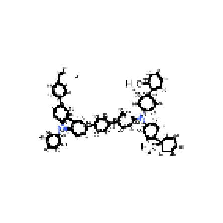 C=Cc1ccc(-c2ccc3c(c2)c2cc(-c4ccc(-c5ccc(N(c6ccc(C7=CC=CCC7C)cc6)c6ccc(C7(C)C=CC=CC7)cc6)cc5)cc4)ccc2n3-c2ccccc2)cc1